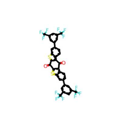 O=C1c2sc3cc(-c4cc(C(F)(F)F)cc(C(F)(F)F)c4)ccc3c2C(=O)c2c1sc1cc(-c3cc(C(F)(F)F)cc(C(F)(F)F)c3)ccc21